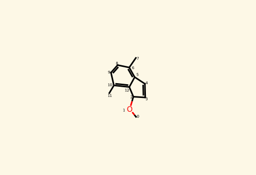 COC1C=Cc2c(C)ccc(C)c21